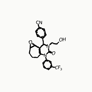 N#Cc1ccc(C2C3=C(CCCC4OC34)N(c3cccc(C(F)(F)F)c3)C(=O)N2CCO)cc1